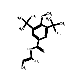 CC=C(N)NC(=O)c1cc(C(C)(C)C)c(OC)c(C(C)(C)C)c1